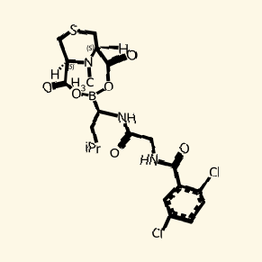 CC(C)CC(NC(=O)CNC(=O)c1cc(Cl)ccc1Cl)B1OC(=O)[C@H]2CSC[C@H](C(=O)O1)N2C